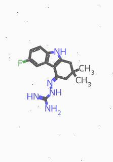 CC1(C)CC(=NNC(=N)N)c2c([nH]c3ccc(F)cc23)C1